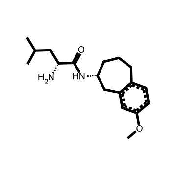 COc1ccc2c(c1)C[C@H](NC(=O)[C@H](N)CC(C)C)CCC2